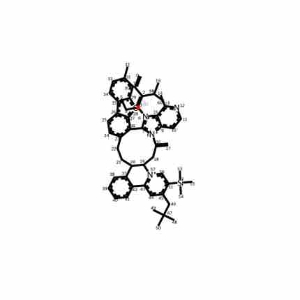 C=C/C(=C(\CC)n1c2[n+](c3ccnc(C)c31)C(=C)CC1C(CCc3ccc4c(oc5cc(C)ccc54)c3-2)c2ccccc2-c2cc(CC(C)(C)C)c([Si](C)(C)C)c[n+]21)C(C)C